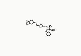 O=C(NC1C2CN(CCc3ccc4c(c3)CCO4)CC21)C(O)(c1ccccc1)C1CC1